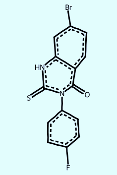 O=c1c2ccc(Br)cc2[nH]c(=S)n1-c1ccc(F)cc1